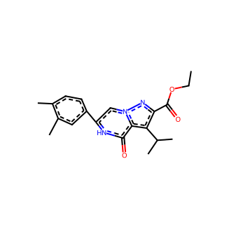 CCOC(=O)c1nn2cc(-c3ccc(C)c(C)c3)[nH]c(=O)c2c1C(C)C